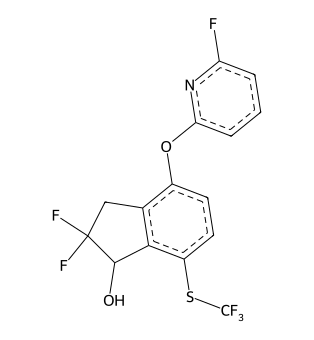 OC1c2c(SC(F)(F)F)ccc(Oc3cccc(F)n3)c2CC1(F)F